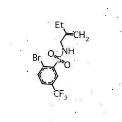 C=C(CC)CNS(=O)(=O)c1cc(C(F)(F)F)ccc1Br